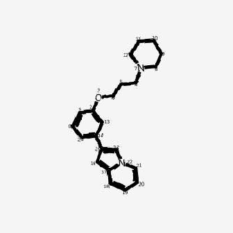 c1cc(OCCCN2CCCCC2)cc(-c2cc3ccccn3c2)c1